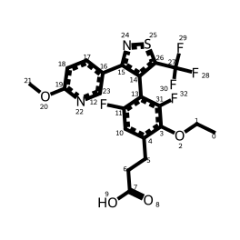 CCOc1c(CCC(=O)O)cc(F)c(-c2c(-c3ccc(OC)nc3)nsc2C(F)(F)F)c1F